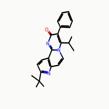 CC(C)c1c(-c2ccccc2)c(=O)nc2c3ccc(C(C)(C)C)nc3ccn12